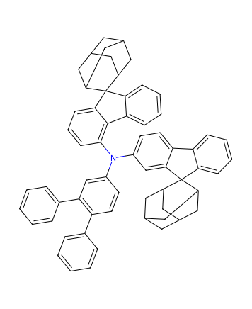 c1ccc(-c2ccc(N(c3ccc4c(c3)C3(c5ccccc5-4)C4CC5CC(C4)CC3C5)c3cccc4c3-c3ccccc3C43C4CC5CC(C4)CC3C5)cc2-c2ccccc2)cc1